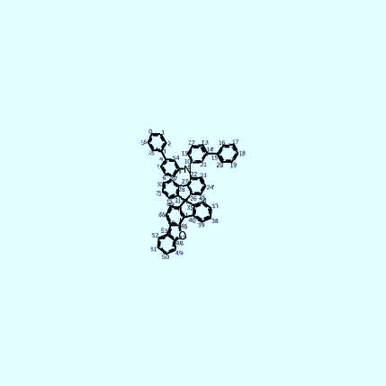 c1ccc(-c2cccc(N(c3cccc(-c4ccccc4)c3)c3cccc4c3-c3ccccc3C43c4ccccc4-c4c3ccc3c4oc4ccccc43)c2)cc1